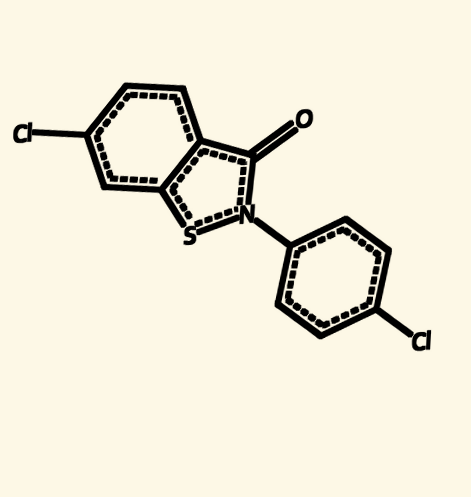 O=c1c2ccc(Cl)cc2sn1-c1ccc(Cl)cc1